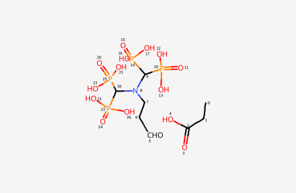 CCC(=O)O.O=CCCN(C(P(=O)(O)O)P(=O)(O)O)C(P(=O)(O)O)P(=O)(O)O